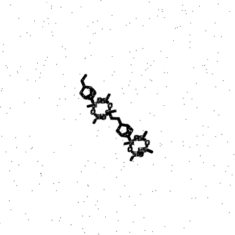 CCC1CC2CC1CC2[Si]1(C)O[SiH](C)O[Si](C)(CCC2CC3CC2CC3[Si]2(C)O[SiH](C)O[SiH](C)O[SiH](C)O2)O[SiH](C)O1